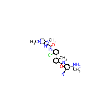 Cc1c(-c2nc3cc(C(C)N)cc(C#N)c3o2)cccc1-c1cccc(NC(=O)c2nc3c(n2C)CCN(C)C3)c1Cl